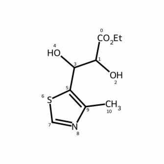 CCOC(=O)C(O)C(O)c1scnc1C